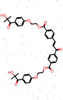 CC(C)(O)C(=O)c1ccc(OCCOC(=O)c2ccc(C=CC(=O)c3ccc(C(=O)OCCOc4ccc(C(=O)C(C)(C)O)cc4)cc3)cc2)cc1